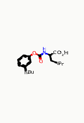 CCCCc1cccc(OC(=O)NC(CC(C)C)C(=O)O)c1